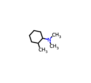 CC1CCCCC1N(C)C